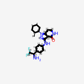 C[C@H]1CCCC[C@@H]1n1nc(Nc2ccc(C(N)C(F)F)cc2)c2c(=O)[nH]ccc21